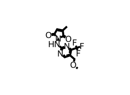 COCc1cnc(NN2C(=O)C=C(C)C2=O)nc1C(F)(F)F